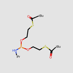 CC(C)NP(OCCSC(=O)C(C)(C)C)OCCSC(=O)C(C)(C)C